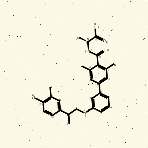 Cc1cc(C(C)CNc2cccc(-c3cc(C)c(C(=O)N[C@@H](C)C(=O)O)c(C)c3)c2)ccc1Cl